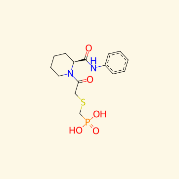 O=C(Nc1ccccc1)[C@@H]1CCCCN1C(=O)CSCP(=O)(O)O